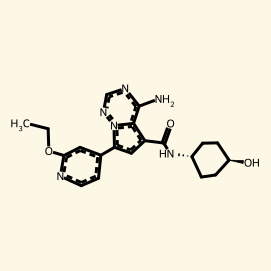 CCOc1cc(-c2cc(C(=O)N[C@H]3CC[C@H](O)CC3)c3c(N)ncnn23)ccn1